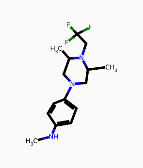 CNc1ccc(N2CC(C)N(CC(F)(F)F)C(C)C2)cc1